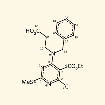 CCOC(=O)c1c(Cl)nc(SC)nc1N(CCC(=O)O)Cc1ccccc1